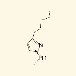 CCCCCc1ccn(PC)n1